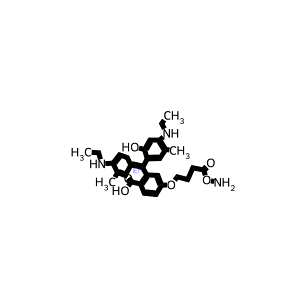 CCNC1=CC/C(=C(\c2cc(C)c(NCC)cc2O)c2cc(OCCCC(=O)ON)ccc2C(=O)O)C=C1C